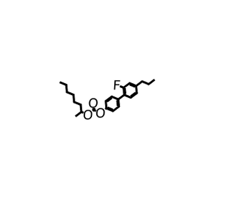 CCCCCCC(C)OC(=O)Oc1ccc(-c2ccc(CCC)cc2F)cc1